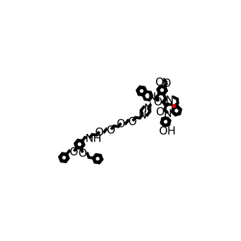 O=C(c1cc(-c2cc3c(cc2C(=O)N2Cc4ccccc4C[C@H]2CN2CCN(CCOCCOCCOCCOCCNCc4ccc(OCc5ccccc5)c(OCCc5ccccc5)c4)CC2)OCO3)n2c1CCCC2)N(c1ccccc1)c1ccc(O)cc1